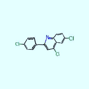 Clc1ccc(-c2cc(Cl)c3cc(Cl)ccc3n2)cc1